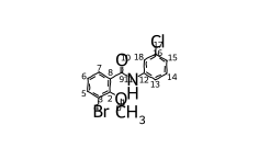 COc1c(Br)cccc1C(=O)Nc1cccc(Cl)c1